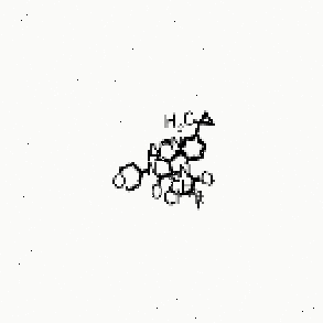 CC1(c2ccc(N(C(=O)[C@H](F)Cl)[C@](C)(C(=O)NC3CCOCC3)c3cncnc3)cc2)CC1